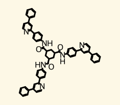 O=C(Nc1ccc(-c2cc(-c3ccccc3)ccn2)cc1)C1CC(C(=O)Nc2ccc(-c3cc(-c4ccccc4)ccn3)cc2)CC(C(=O)Nc2ccc(-c3cc(-c4ccccc4)ccn3)cc2)C1